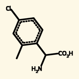 Cc1cc(Cl)ccc1C(N)C(=O)O